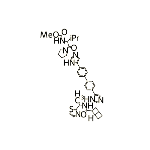 COC(=O)N[C@H](C(=O)N1CCC[C@H]1c1ncc(-c2ccc(-c3ccc(-c4cnc([C@@H]5C6CC[C@H]6[C@H]5C(=O)N[C@H](C)c5nccs5)[nH]4)cc3)cc2)[nH]1)C(C)C